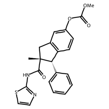 COC(=O)Oc1ccc2c(c1)C[C@@](C)(C(=O)Nc1nccs1)[C@H]2c1ccccc1